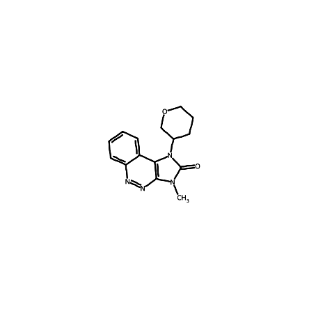 Cn1c(=O)n(C2CCCOC2)c2c3ccccc3nnc21